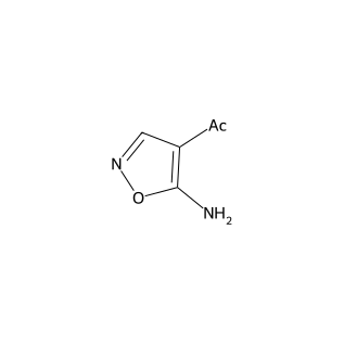 CC(=O)c1cnoc1N